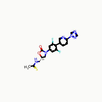 CC(=S)NC[C@H]1CN(c2cc(F)c(-c3ccc(-n4cncn4)nc3)c(F)c2)C(=O)O1